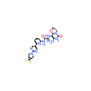 CC(=O)Cn1c(=O)c(N[C@@H](C)C(=O)Nc2cccc(-c3cnc(N4CC5C(C4)C5(F)F)nc3)n2)c(N)n(C)c1=O